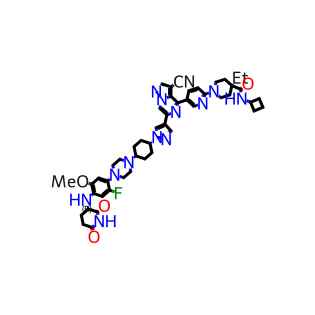 CCC1(C(=O)NC2CCC2)CCN(c2ccc(-c3nc(-c4cnn([C@H]5CC[C@H](N6CCN(c7cc(OC)c(N[C@@H]8CCC(=O)NC8=O)cc7F)CC6)CC5)c4)cn4ncc(C#N)c34)cn2)CC1